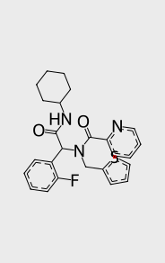 O=C(NC1CCCCC1)C(c1ccccc1F)N(Cc1cccs1)C(=O)c1ccccn1